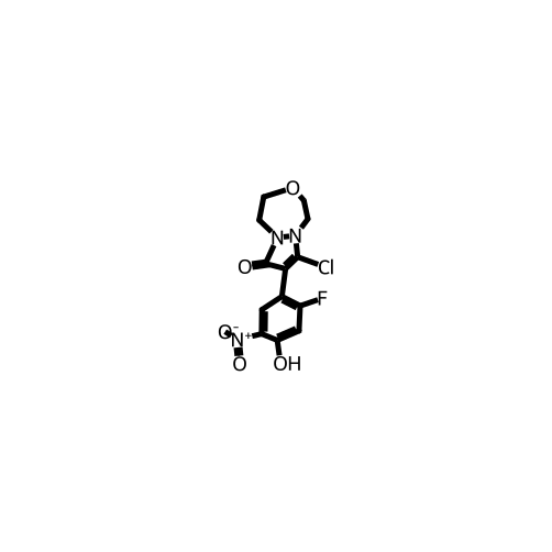 O=c1c(-c2cc([N+](=O)[O-])c(O)cc2F)c(Cl)n2n1CCOCC2